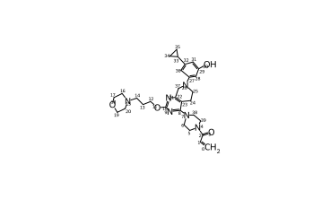 C=CC(=O)N1CCN(c2nc(OCCCN3CCOCC3)nc3c2CCN(c2cc(O)cc(C4CC4)c2)C3)CC1